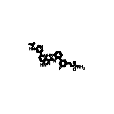 CC(C)Nc1cncc(-c2ccc3[nH]nc(-c4nc5c(-c6cc(F)cc(CCS(N)(=O)=O)c6)cccc5[nH]4)c3n2)c1